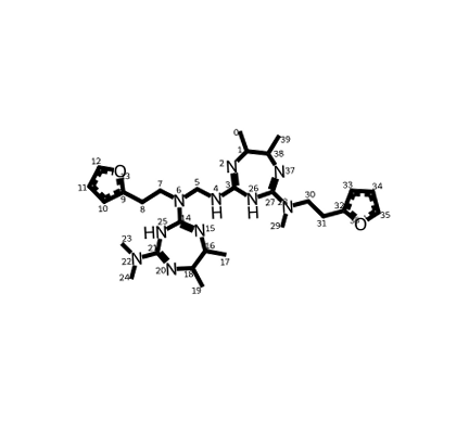 CC1N=C(NCN(CCc2ccco2)C2=NC(C)C(C)N=C(N(C)C)N2)NC(N(C)CCc2ccco2)=NC1C